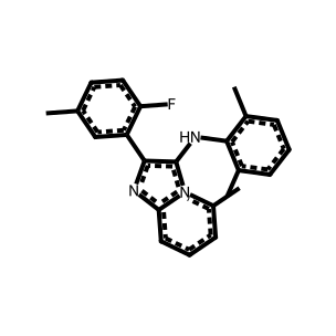 Cc1ccc(F)c(-c2nc3cccc(C)n3c2Nc2c(C)cccc2C)c1